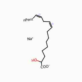 CCCCC/C=C\C/C=C\CCCCCCC(O)C(=O)[O-].[Na+]